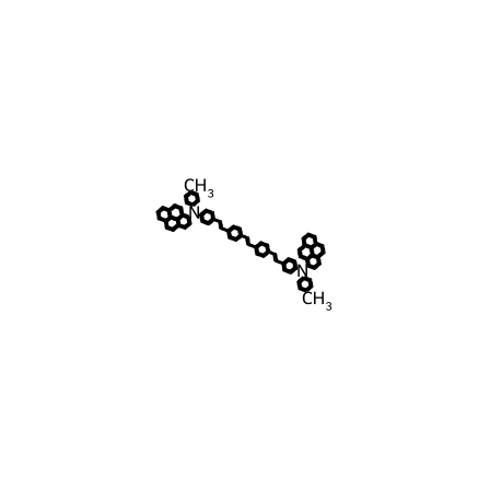 Cc1ccc(N(c2ccc(C=Cc3ccc(C=Cc4ccc(C=Cc5ccc(N(c6ccc(C)cc6)c6ccc7ccc8cccc9ccc6c7c89)cc5)cc4)cc3)cc2)c2ccc3ccc4cccc5ccc2c3c45)cc1